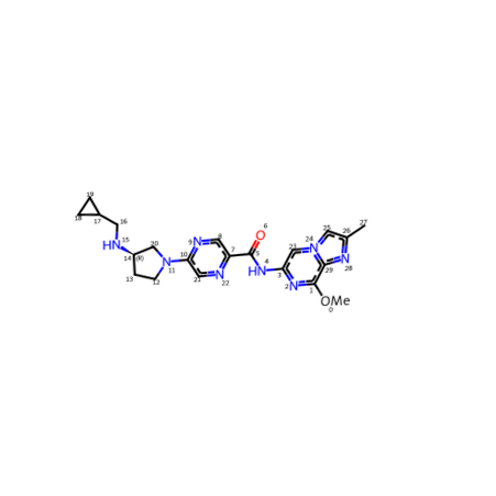 COc1nc(NC(=O)c2cnc(N3CC[C@@H](NCC4CC4)C3)cn2)cn2cc(C)nc12